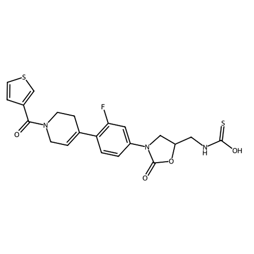 O=C(c1ccsc1)N1CC=C(c2ccc(N3CC(CNC(O)=S)OC3=O)cc2F)CC1